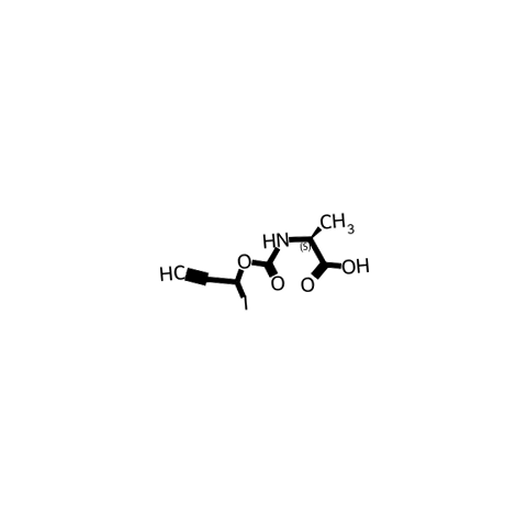 C#CC(I)OC(=O)N[C@@H](C)C(=O)O